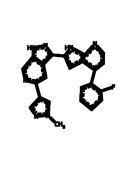 Cn1cc(-c2cc3c(-c4cc5c(-c6ccccc6F)ccnc5[nH]4)n[nH]c3cn2)cn1